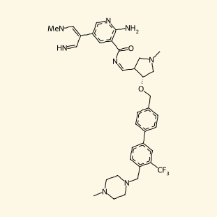 CN/C=C(\C=N)c1cnc(N)c(C(=O)/N=C\C2CN(C)C[C@@H]2OCc2ccc(-c3ccc(CN4CCN(C)CC4)c(C(F)(F)F)c3)cc2)c1